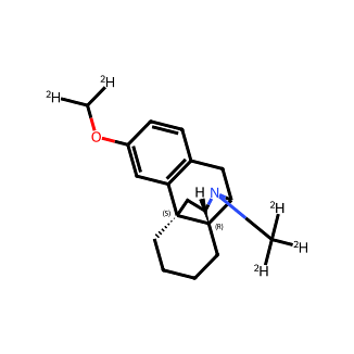 [2H]C([2H])Oc1ccc2c(c1)[C@]13CCCC[C@H]1C(C2)N(C([2H])([2H])[2H])CC3